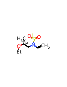 C=CN(C[C@H](C)OCC)[SH](=O)=O